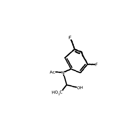 CC(=O)N(c1cc(F)cc(F)c1)C(O)C(=O)O